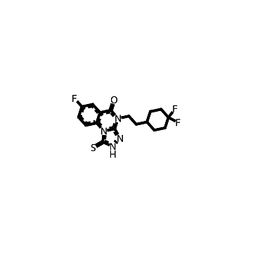 O=c1c2cc(F)ccc2n2c(=S)[nH]nc2n1CCC1CCC(F)(F)CC1